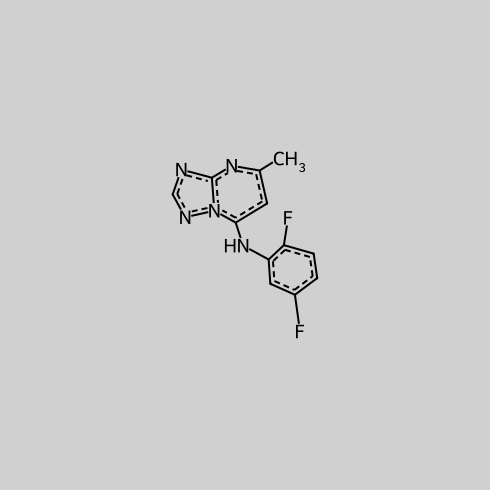 Cc1cc(Nc2cc(F)ccc2F)n2ncnc2n1